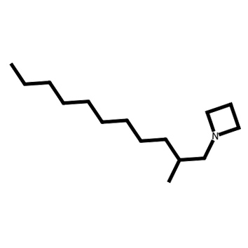 CCCCCCCCCC(C)CN1CCC1